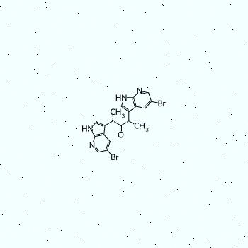 CC(C(=O)C(C)c1c[nH]c2ncc(Br)cc12)c1c[nH]c2ncc(Br)cc12